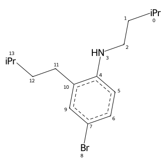 CC(C)CCNc1ccc(Br)cc1CCC(C)C